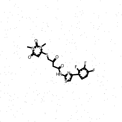 Cn1c(SCC(=O)CC(=O)Nc2nc(-c3ccc(F)c(F)c3F)cs2)cc(=O)n(C)c1=O